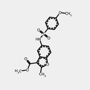 COC(=O)c1c(C)oc2ccc(NS(=O)(=O)c3ccc(OC)cc3)cc12